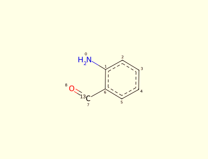 Nc1ccccc1[13CH]=O